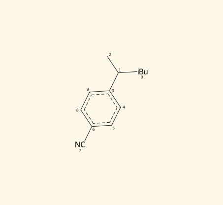 CCC(C)C(C)c1ccc(C#N)cc1